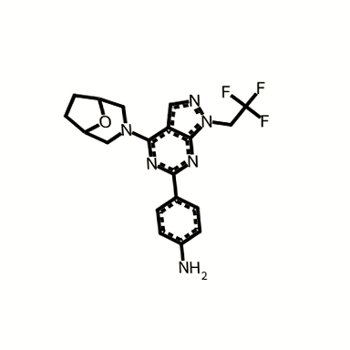 Nc1ccc(-c2nc(N3CC4CCC(C3)O4)c3cnn(CC(F)(F)F)c3n2)cc1